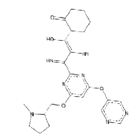 CCC/C(C(=N)c1nc(OC[C@@H]2CCCN2C)cc(Oc2cncnc2)n1)=C(/O)[C@H]1CCCCC1=O